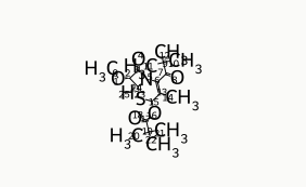 CO[C@H]1C(=O)N2C(C(=O)C(C)(C)C)=C(C)C(OC(=O)C(C)(C)C)S[C@@H]12